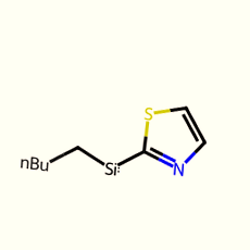 CCCCC[Si]c1nccs1